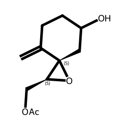 C=C1CCC(O)C[C@]12O[C@H]2COC(C)=O